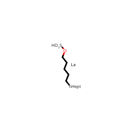 CCCCCCCCCCCCOS(=O)(=O)O.[La]